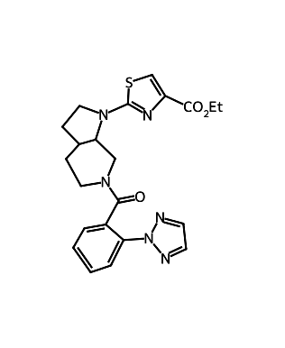 CCOC(=O)c1csc(N2CCC3CCN(C(=O)c4ccccc4-n4nccn4)CC32)n1